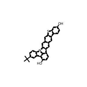 CC(C)(C)c1ccc2c(c1)c1c(O)ccc3c4cc5cc6c(cc5cc4n2c31)sc1cc(O)ccc16